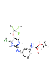 CC(C)(C)OC(=O)Nc1cccc(Nc2ncc(OC(F)(F)F)c(Cl)n2)c1